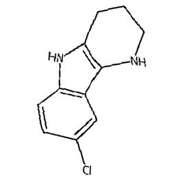 Clc1ccc2[nH]c3c(c2c1)NCCC3